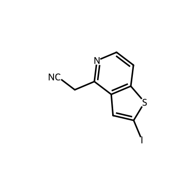 N#CCc1nccc2sc(I)cc12